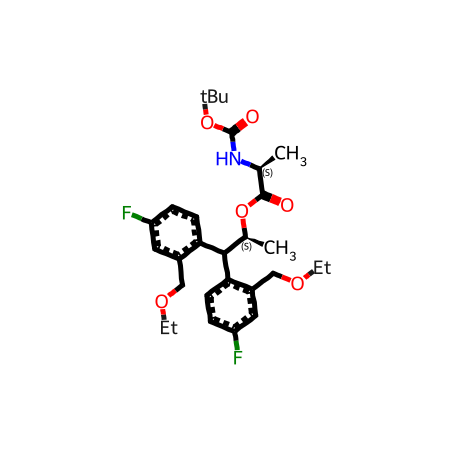 CCOCc1cc(F)ccc1C(c1ccc(F)cc1COCC)[C@H](C)OC(=O)[C@H](C)NC(=O)OC(C)(C)C